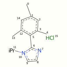 Cc1cc(C)c(-c2nccn2C(C)C)c(C)c1.Cl